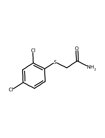 NC(=O)CSc1ccc(Cl)cc1Cl